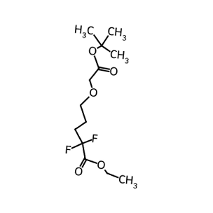 CCOC(=O)C(F)(F)CCCOCC(=O)OC(C)(C)C